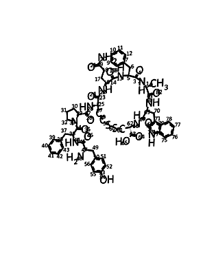 C[C@@H]1NC(=O)[C@H](Cc2ccccc2)NC(=O)[C@H](CCC(N)=O)NC(=O)[C@H](NC(=O)[C@@H]2CCCN2C(=O)[C@H](Cc2ccccc2)NC(=O)[C@@H](N)Cc2ccc(O)cc2)CCSSC[C@@H](C(=O)O)NC(=O)[C@H](Cc2c[nH]c3ccccc23)NC1=O